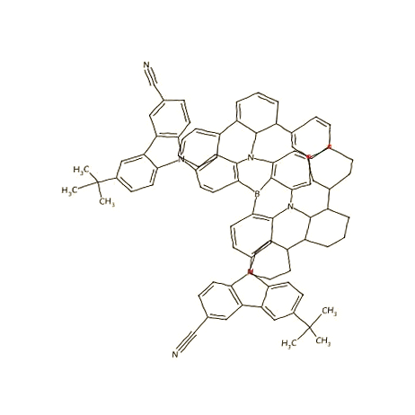 CC(C)(C)c1ccc2c(c1)c1cc(C#N)ccc1n2-c1ccc2c(c1)N(C1C(C3=CC=CCC3)=CC=CC1C1=CCCC=C1)c1cccc3c1B2c1ccc(-n2c4ccc(C#N)cc4c4cc(C(C)(C)C)ccc42)cc1N3C1C(C2CCCCC2)CCCC1C1CCCCC1